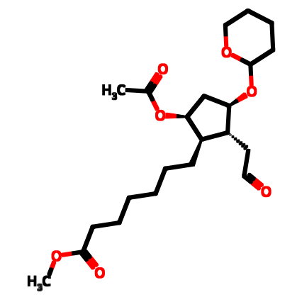 COC(=O)CCCCCC[C@@H]1[C@@H](CC=O)[C@H](OC2CCCCO2)C[C@@H]1OC(C)=O